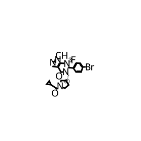 Cn1ncc2c(=O)n(C[C@@H]3CCN(C(=O)C4CC4)C3)c(-c3ccc(Br)cc3F)nc21